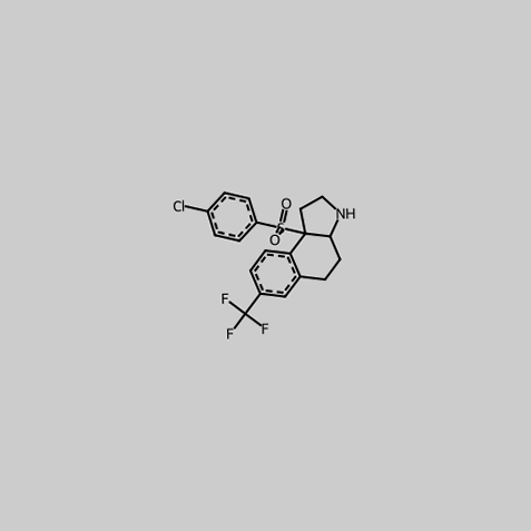 O=S(=O)(c1ccc(Cl)cc1)C12CCNC1CCc1cc(C(F)(F)F)ccc12